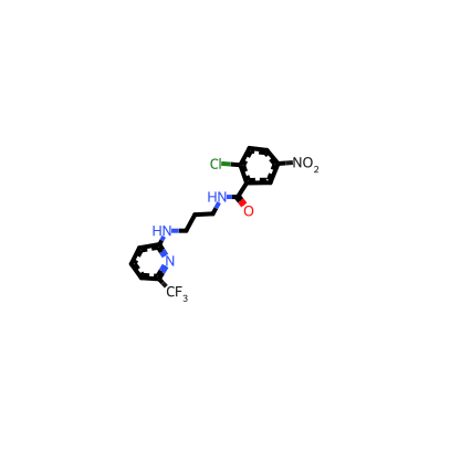 O=C(NCCCNc1cccc(C(F)(F)F)n1)c1cc([N+](=O)[O-])ccc1Cl